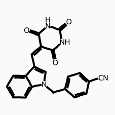 N#Cc1ccc(Cn2cc(C=C3C(=O)NC(=O)NC3=O)c3ccccc32)cc1